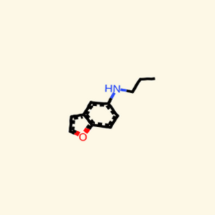 CCCNc1ccc2occc2c1